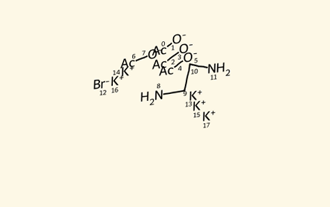 CC(=O)[O-].CC(=O)[O-].CC(=O)[O-].CC(=O)[O-].NCCN.[Br-].[K+].[K+].[K+].[K+].[K+]